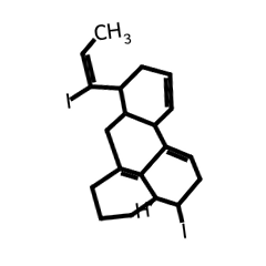 C/C=C(/I)C1CC=CC2C3=CCC(I)[C@@H]4CCCC(=C34)CC21